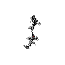 Cc1ncsc1-c1ccc([C@H](C)NC(=O)[C@@H]2C[C@@H](O)CN2C(=O)[C@@H](NC(=O)COCCCCOc2ccc(-c3ccc(N4C(S)N(c5ccc(C#N)c(C(F)(F)F)c5F)C(=O)C4(C)C)cn3)cc2C(F)(F)F)C(C)(C)C)cc1